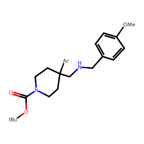 COc1ccc(CNCC2(C(C)=O)CCN(C(=O)OC(C)(C)C)CC2)cc1